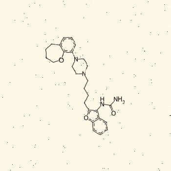 NC(=O)Nc1c(CCCCN2CCN(c3cccc4c3OCCCC4)CC2)oc2ccccc12